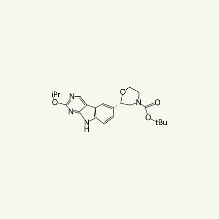 CC(C)Oc1ncc2c(n1)[nH]c1ccc([C@H]3CN(C(=O)OC(C)(C)C)CCO3)cc12